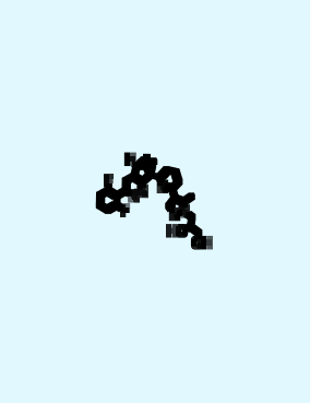 Cc1c(-c2cccc([C@@]34CC[C@@H](c5cc(-c6c(F)cccc6F)nnc53)C4(C)C)n2)cnn1CC(O)CO